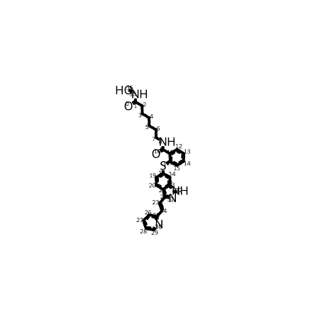 O=C(CCCCCCNC(=O)c1ccccc1Sc1ccc2c(/C=C/c3ccccn3)n[nH]c2c1)NO